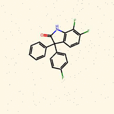 O=C1Nc2c(ccc(F)c2F)C1(c1cc[c]cc1)c1ccc(F)cc1